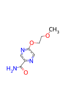 COCCOc1cnc(C(N)=O)cn1